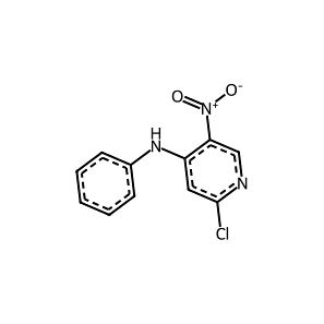 O=[N+]([O-])c1cnc(Cl)cc1Nc1ccccc1